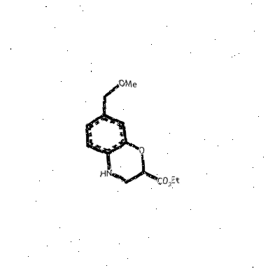 CCOC(=O)C1CNc2ccc(COC)cc2O1